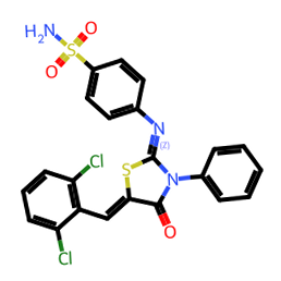 NS(=O)(=O)c1ccc(/N=C2\SC(=Cc3c(Cl)cccc3Cl)C(=O)N2c2ccccc2)cc1